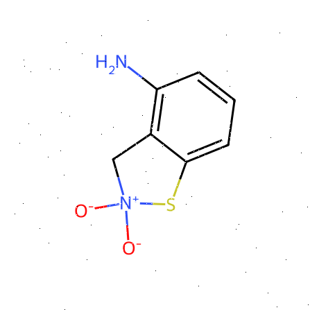 Nc1cccc2c1C[N+]([O-])([O-])S2